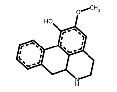 COc1cc2c3c(c1O)-c1ccccc1CC3NCC2